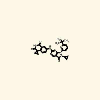 CC(C)(C)c1cccc(-n2c3nc(Nc4ccc5c(c4)C(=O)NC(=O)C54CC4)ncc3c(=O)n2C2CC2)n1